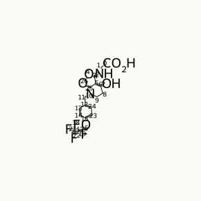 O=C(O)CNC(=O)C1=C(O)CCN(Cc2ccc(OC(F)(F)C(F)F)cc2)C1=O